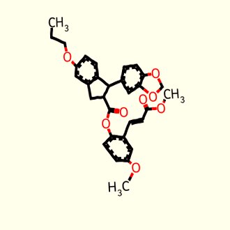 CCCOc1ccc2c(c1)CC(C(=O)Oc1ccc(OC)cc1/C=C/C(=O)OC)C2c1ccc2c(c1)OCO2